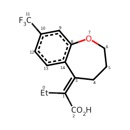 CC/C(C(=O)O)=C1/CCCOc2cc(C(F)(F)F)ccc21